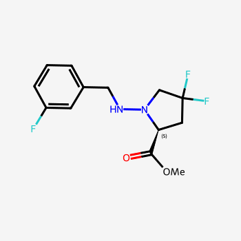 COC(=O)[C@@H]1CC(F)(F)CN1NCc1cccc(F)c1